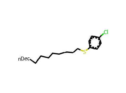 CCCCCCCCCCCCCCCCCCSc1c[c]c(Cl)cc1